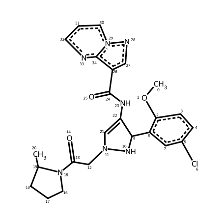 COc1ccc(Cl)cc1C1NN(CC(=O)N2CCCC2C)C=C1NC(=O)c1cnn2cccnc12